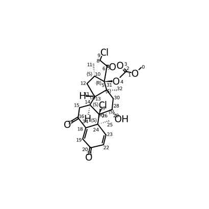 COC(=O)O[C@]1(C(=O)CCl)[C@@H](C)C[C@H]2[C@@H]3CC(=O)C4=CC(=O)C=C[C@]4(C)[C@@]3(Cl)[C@@H](O)C[C@@]21C